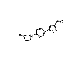 O=Cc1cc(-c2ccc(N3CC[C@@H](F)C3)nc2)[nH]n1